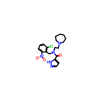 O=C(c1ccn[nH]1)N(CCN1CCCCCC1)Cc1c(Cl)cccc1[N+](=O)[O-]